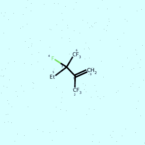 C=C(C(F)(F)F)C(F)(CC)C(F)(F)F